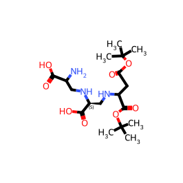 CC(C)(C)OC(=O)CC(NC[C@H](NCC(N)C(=O)O)C(=O)O)C(=O)OC(C)(C)C